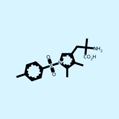 Cc1ccc(S(=O)(=O)n2cc(CC(C)(N)C(=O)O)c(C)c2C)cc1